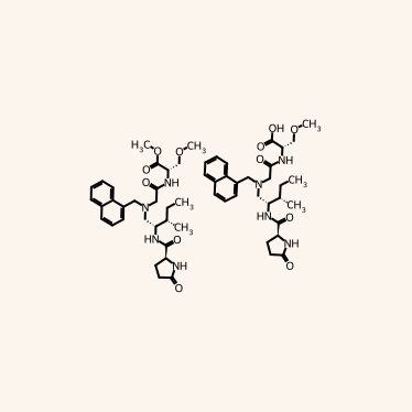 CC[C@H](C)[C@@H](CN(CC(=O)N[C@@H](COC)C(=O)O)Cc1cccc2ccccc12)NC(=O)[C@@H]1CCC(=O)N1.CC[C@H](C)[C@@H](CN(CC(=O)N[C@@H](COC)C(=O)OC)Cc1cccc2ccccc12)NC(=O)[C@@H]1CCC(=O)N1